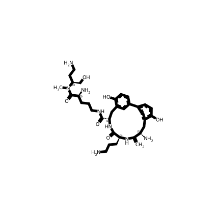 C=C1N[C@@H](CCCN)C(=O)N[C@H](C(=O)NCCC[C@H](N)C(=O)N(C)[C@H](CO)CCN)Cc2cc(ccc2O)-c2ccc(O)c(c2)C[C@@H]1N